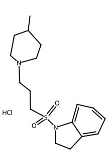 CC1CCN(CCCS(=O)(=O)N2CCc3ccccc32)CC1.Cl